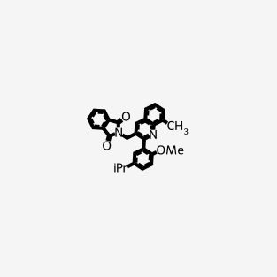 COc1ccc(C(C)C)cc1-c1nc2c(C)cccc2cc1CN1C(=O)c2ccccc2C1=O